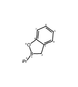 CC(C)B1Cc2ccccc2O1